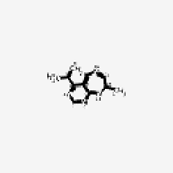 C=C(C)c1ncnc2c1=CN=CC(C)N=2